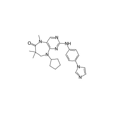 CN1C(=O)C(C)(C)CN(C2CCCC2)c2nc(Nc3ccc(-n4ccnc4)cc3)ncc21